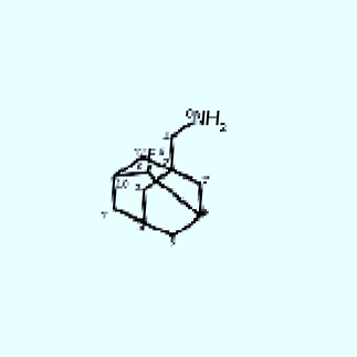 NCC12CC3CC(C1)C(F)C(C3)C2